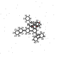 c1ccc(-c2nc(-c3ccccc3)nc(-c3cc(-c4ccc5ccccc5c4)ccc3-c3cc(-n4c5ccccc5c5ccccc54)cc4c3sc3ccccc34)n2)cc1